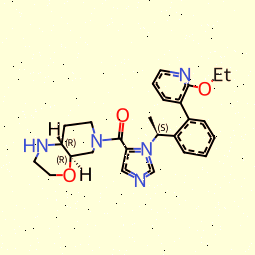 CCOc1ncccc1-c1ccccc1[C@H](C)n1cncc1C(=O)N1CC[C@H]2NCCO[C@@H]2C1